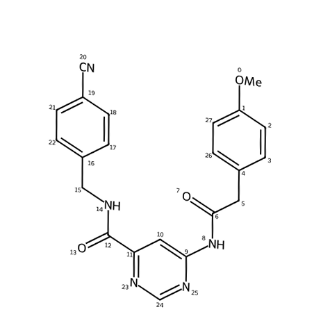 COc1ccc(CC(=O)Nc2cc(C(=O)NCc3ccc(C#N)cc3)ncn2)cc1